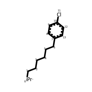 C[C](C)CCCCCCc1ccc(Cl)cc1